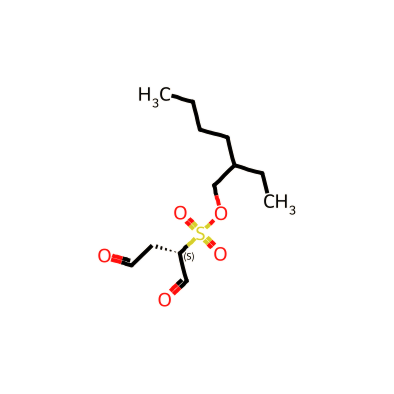 CCCCC(CC)COS(=O)(=O)[C@H](C=O)CC=O